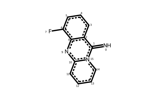 N=c1c2cccc(F)c2nc2ccccn12